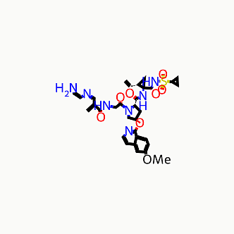 C=C[C@@H]1C[C@]1(NC(=O)[C@@H]1C[C@@H](Oc2nccc3cc(OC)ccc23)CN1C(=O)CNC(=O)C(=C)/C=N\C=C/N)C(=O)NS(=O)(=O)C1CC1